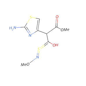 CON=S=C(O)C(C(=O)OC)c1csc(N)n1